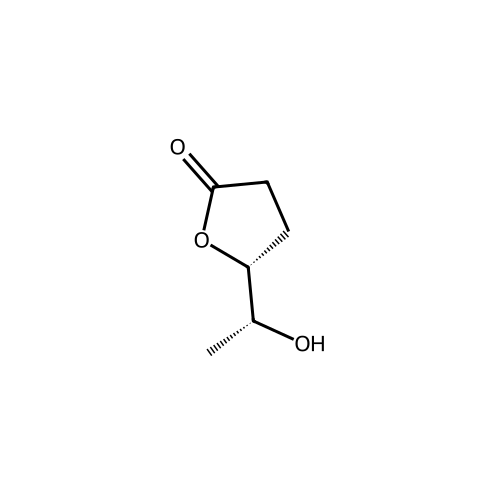 C[C@@H](O)[C@H]1CCC(=O)O1